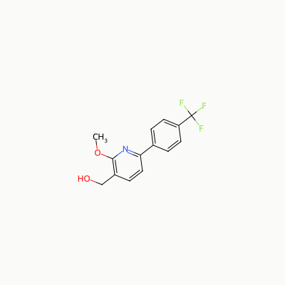 COc1nc(-c2ccc(C(F)(F)F)cc2)ccc1CO